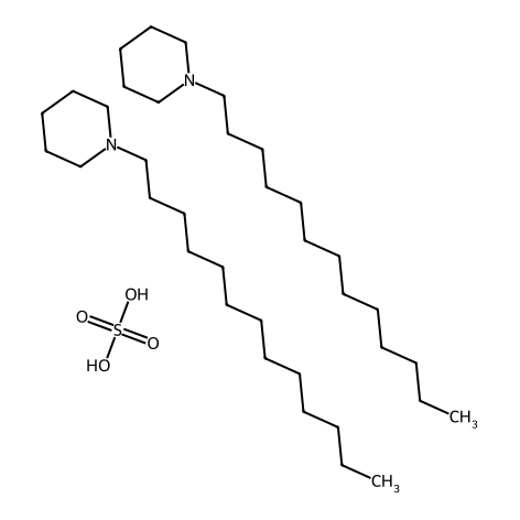 CCCCCCCCCCCCCN1CCCCC1.CCCCCCCCCCCCCN1CCCCC1.O=S(=O)(O)O